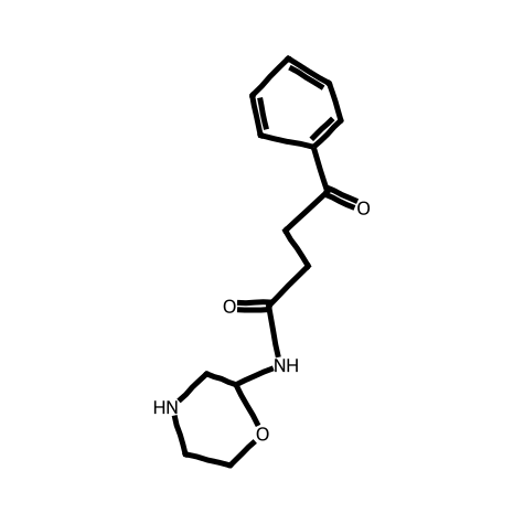 O=C(CCC(=O)c1ccccc1)NC1CNCCO1